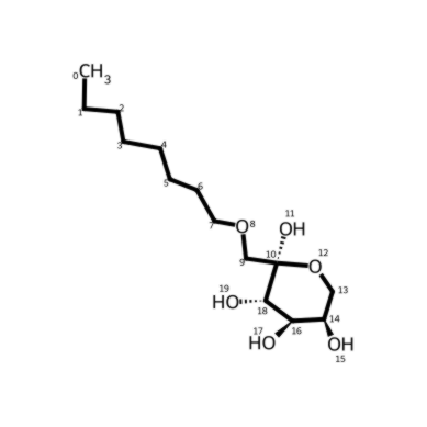 CCCCCCCCOC[C@@]1(O)OC[C@@H](O)[C@@H](O)[C@@H]1O